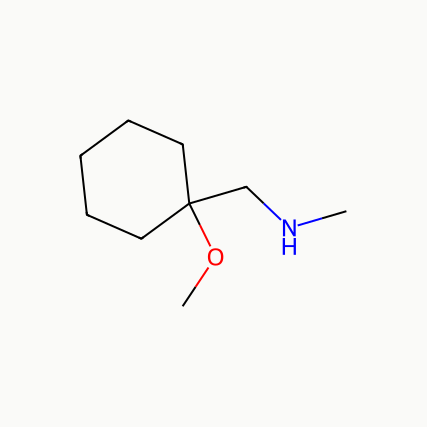 CNCC1(OC)CCCCC1